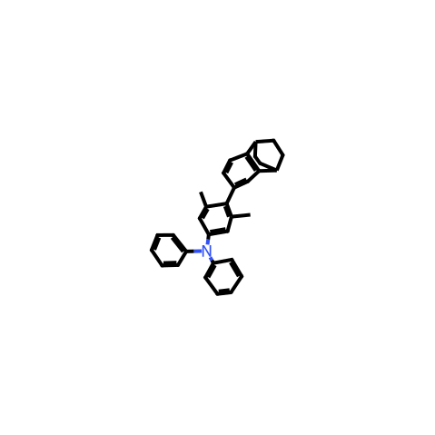 Cc1cc(N(c2ccccc2)c2ccccc2)cc(C)c1-c1ccc2c(c1)C1CCC2CC1